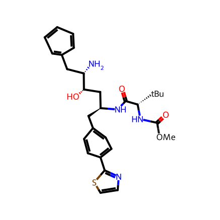 COC(=O)N[C@H](C(=O)N[C@@H](Cc1ccc(-c2nccs2)cc1)C[C@H](O)[C@@H](N)Cc1ccccc1)C(C)(C)C